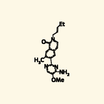 CC/C=C/Cn1ccc2cc(-c3ncc(OC)c(N)n3)c(C)cc2c1=O